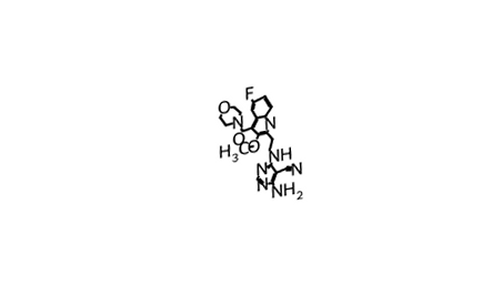 COc1c(CCNc2ncnc(N)c2C#N)nc2ccc(F)cc2c1C(=O)N1CCOCC1